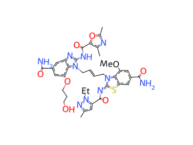 CCn1nc(C)cc1C(=O)/N=c1\sc2cc(C(N)=O)cc(OC)c2n1C/C=C/Cn1c(NC(=O)c2oc(C)nc2C)nc2cc(C(N)=O)cc(OCCCO)c21